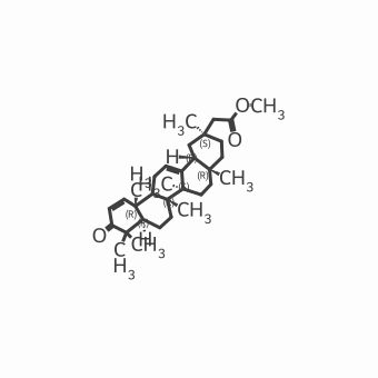 COC(=O)C[C@@]1(C)CC[C@]2(C)CC[C@]3(C)C(=CCC4[C@@]5(C)C=CC(=O)C(C)(C)[C@@H]5CC[C@]43C)[C@@H]2C1